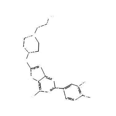 COCCN1CCC(Nc2nc3nc(-c4ccc(F)c(Cl)c4)nc(N)c3s2)CC1